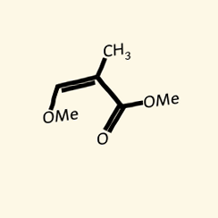 COC=C(C)C(=O)OC